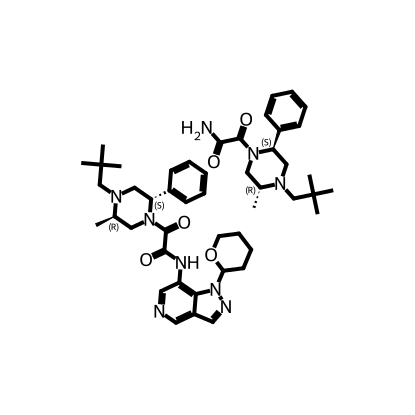 C[C@@H]1CN(C(=O)C(=O)Nc2cncc3cnn(C4CCCCO4)c23)[C@@H](c2ccccc2)CN1CC(C)(C)C.C[C@@H]1CN(C(=O)C(N)=O)[C@@H](c2ccccc2)CN1CC(C)(C)C